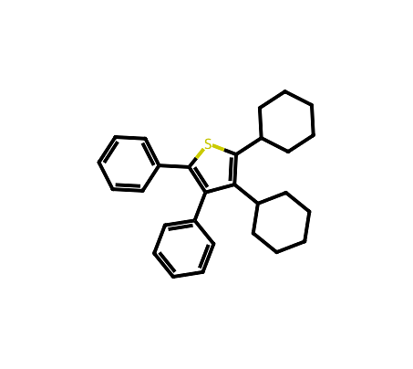 c1ccc(-c2sc(C3CCCCC3)c(C3CCCCC3)c2-c2ccccc2)cc1